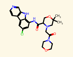 CC1(C)CN(CC(=O)N2CCOCC2)C(C(=O)Nc2cc(Cl)cc3c2[nH]c2cnccc23)CO1